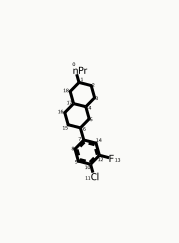 CCCC1CCC2CC(c3ccc(Cl)c(F)c3)CCC2C1